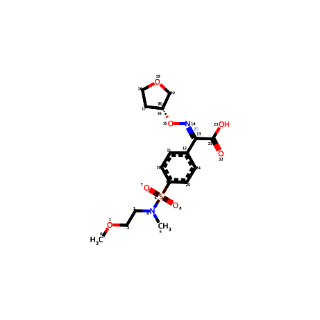 COCCN(C)S(=O)(=O)c1ccc(/C(=N\O[C@@H]2CCOC2)C(=O)O)cc1